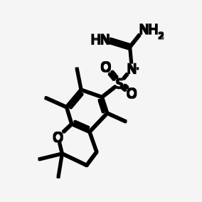 Cc1c(C)c(S(=O)(=O)[N]C(=N)N)c(C)c2c1OC(C)(C)CC2